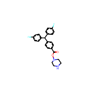 O=C(ON1CCNCC1)c1ccc(C(c2ccc(F)cc2)c2ccc(F)cc2)cc1